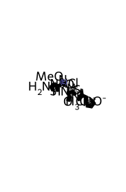 CO/N=C(/C(=O)N[C@@H]1C(=O)N2C(C(=O)[O-])=C(C[N+]3(C)CCCC3)CS[C@H]12)c1csc(N)n1.Cl